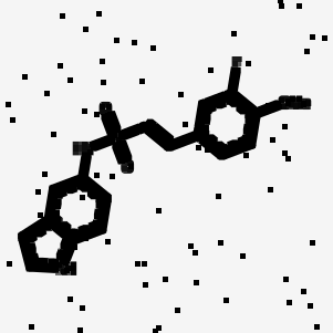 COc1ccc(C=CS(=O)(=O)Nc2ccc3[nH]ccc3c2)cc1F